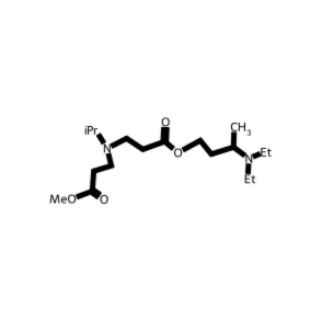 CCN(CC)C(C)CCOC(=O)CCN(CCC(=O)OC)C(C)C